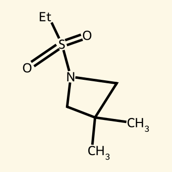 CCS(=O)(=O)N1CC(C)(C)C1